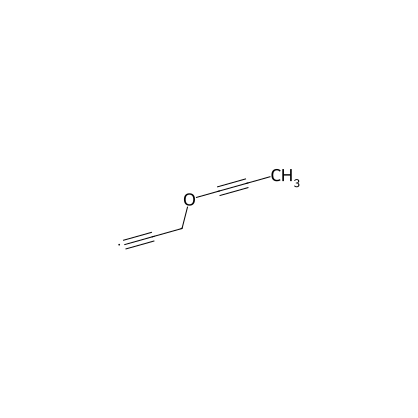 [C]#CCOC#CC